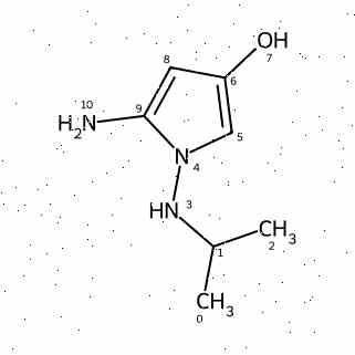 CC(C)Nn1cc(O)cc1N